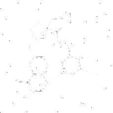 Cn1ccc2ccc(CN3CCC(CC4CC4)(C(=O)NCc4cc(C(F)(F)F)cc(C(F)(F)F)c4)C3)cc2c1=O